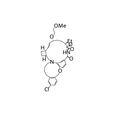 CC[C@@H]1CC[C@@H](OCCOC)/C=C/[C@@H]2CC[C@H]2CN2CCCCc3cc(Cl)ccc3COc3ccc(cc32)C(=O)NS1(=O)=O